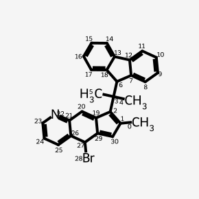 CC1=C(C(C)(C)C2c3ccccc3-c3ccccc32)C2=Cc3ncccc3C(Br)C2=C1